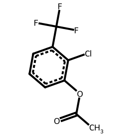 CC(=O)Oc1cccc(C(F)(F)F)c1Cl